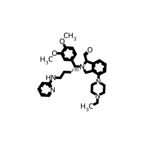 CCN1CCN(c2cccc3c2CN([C@H](CCCNc2ccccn2)c2ccc(OC)c(OC)c2)C3C=O)CC1